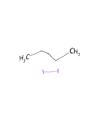 CCCC.II